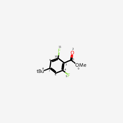 COC(=O)c1c(F)cc(C(C)(C)C)cc1F